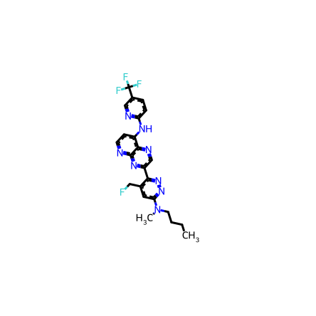 CCCCN(C)c1cc(CF)c(-c2cnc3c(Nc4ccc(C(F)(F)F)cn4)ccnc3n2)nn1